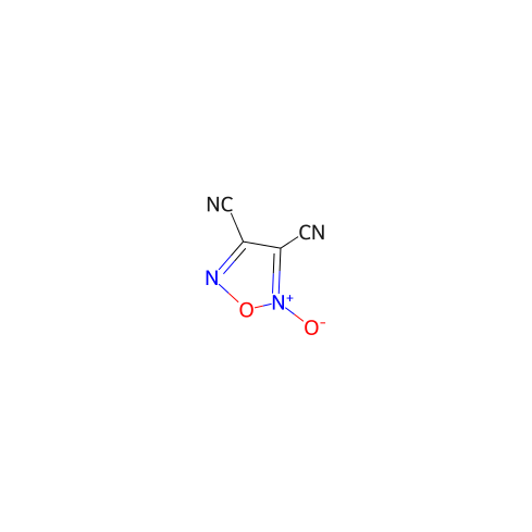 N#Cc1no[n+]([O-])c1C#N